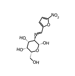 O=[N+]([O-])c1ccc(C=N[C@@H]2[C@@H](O)[C@@H](O)[C@@H](CO)O[C@H]2O)o1